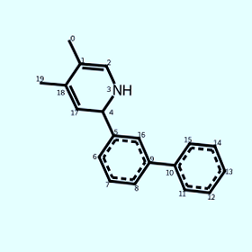 CC1=CNC(c2cccc(-c3ccccc3)c2)C=C1C